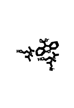 CC(C)[N+](C)(CCO)C(C)C.CC(C)[N+](C)(CCO)C(C)C.O=C([O-])C1c2ccccc2Oc2ccccc21.[Br-]